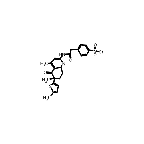 CCS(=O)(=O)c1ccc(CC(=O)Nc2cc(C)c3c(n2)CCC(C)(c2ccc(C)s2)C3=O)cc1